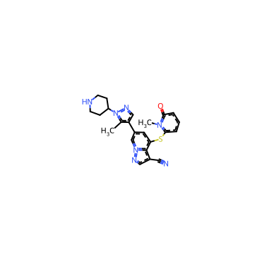 Cc1c(-c2cc(Sc3cccc(=O)n3C)c3c(C#N)cnn3c2)cnn1C1CCNCC1